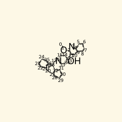 COc1nc2ccccc2cc1C1(O)CCN(CC23CC(c4ccccc42)c2ccccc23)CC1